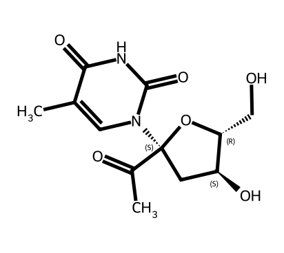 CC(=O)[C@]1(n2cc(C)c(=O)[nH]c2=O)C[C@H](O)[C@@H](CO)O1